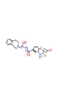 O=C1CC2(C1)Oc1ccc(C(=O)NC[C@H](O)CN3CCc4ccccc4C3)cc1NC2=O